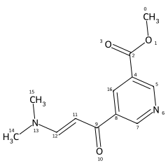 COC(=O)c1cncc(C(=O)C=CN(C)C)c1